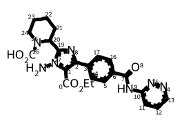 CCOC(=O)c1c(-c2ccc(C(=O)Nc3cccnn3)cc2)nc(C2CCCCN2C(=O)O)n1N